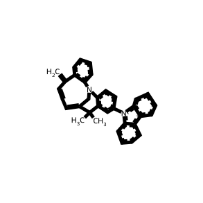 C=C1/C=C\C=C2/CN(c3ccccc31)c1ccc(-n3c4ccccc4c4ccccc43)cc1C2(C)C